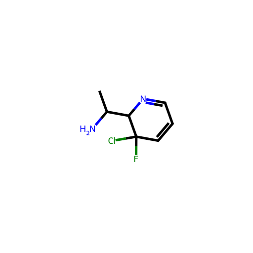 CC(N)C1N=CC=CC1(F)Cl